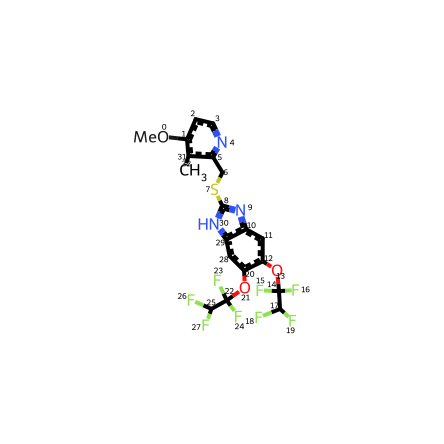 COc1ccnc(CSc2nc3cc(OC(F)(F)C(F)F)c(OC(F)(F)C(F)F)cc3[nH]2)c1C